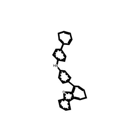 C1=CCC=C(c2ccc(Nc3ccc(C4=c5oc6ccccc6c5=CCC=C4)cc3)cc2)C=C1